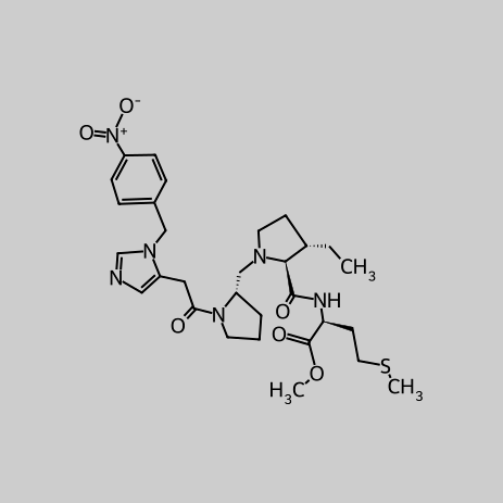 CC[C@H]1CCN(C[C@@H]2CCCN2C(=O)Cc2cncn2Cc2ccc([N+](=O)[O-])cc2)[C@@H]1C(=O)N[C@@H](CCSC)C(=O)OC